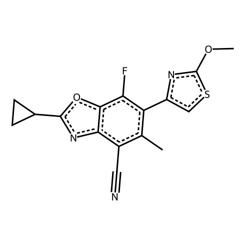 COc1nc(-c2c(C)c(C#N)c3nc(C4CC4)oc3c2F)cs1